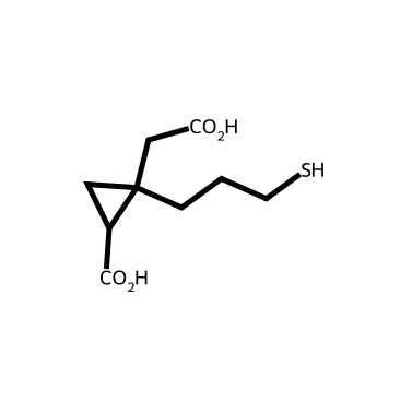 O=C(O)CC1(CCCS)CC1C(=O)O